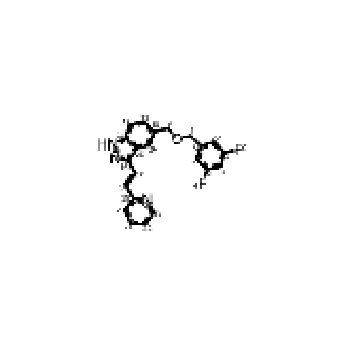 Fc1cc(F)cc(COCc2ccc3[nH]nc(/C=C/c4ccccn4)c3c2)c1